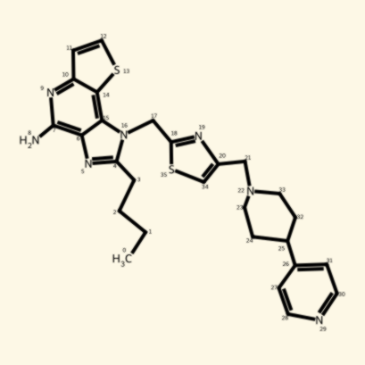 CCCCc1nc2c(N)nc3ccsc3c2n1Cc1nc(CN2CCC(c3ccncc3)CC2)cs1